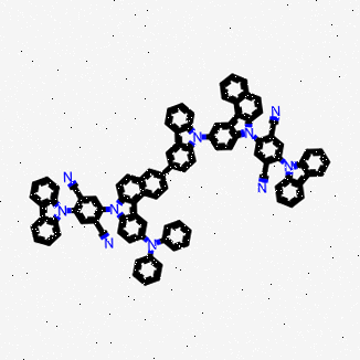 N#Cc1cc(-n2c3ccc(N(c4ccccc4)c4ccccc4)cc3c3c4ccc(-c5ccc6c(c5)c5ccccc5n6-c5ccc6c(c5)c5c7ccccc7ccc5n6-c5cc(C#N)c(-n6c7ccccc7c7ccccc76)cc5C#N)cc4ccc32)c(C#N)cc1-n1c2ccccc2c2ccccc21